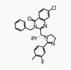 Cc1ccc(C2=NCCN2[C@@H](c2nc3cc(Cl)ccc3c(=O)n2Cc2ccccc2)C(C)C)cc1F